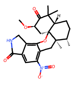 CO[C@@H]1C[C@@]23Oc4c5c(cc([N+](=O)[O-])c4C[C@]2(C)[C@@H](C)CC[C@H]3C(C)(C)C1=O)C(=O)NC5